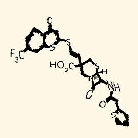 O=C(Cc1cccs1)NC1C(=O)N2CC(C=CSc3cc(=O)c4ccc(C(F)(F)F)cc4s3)(C(=O)O)CS[C@H]12